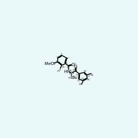 COc1cccc(C(=O)NN(C(=O)c2cc(C)cc(C)c2)C(C)(C)C)c1I